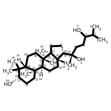 CC(C)C(O)CC[C@](C)(O)[C@H]1CC[C@@]2(C)[C@H]1CC[C@H]1[C@@]3(C)CC[C@H](O)C(C)(C)[C@@H]3CC[C@@]12C